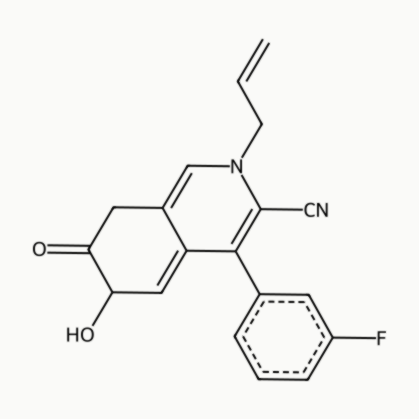 C=CCN1C=C2CC(=O)C(O)C=C2C(c2cccc(F)c2)=C1C#N